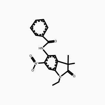 CCN1C(=O)C(C)(C)c2cc(NC(=O)c3ccccc3)c([N+](=O)[O-])cc21